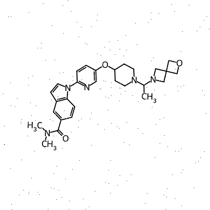 CC(N1CCC(Oc2ccc(-n3ccc4cc(C(=O)N(C)C)ccc43)nc2)CC1)N1CC2(COC2)C1